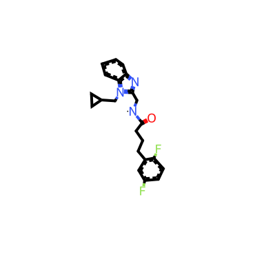 O=C(CCCc1cc(F)ccc1F)[N]Cc1nc2ccccc2n1CC1CC1